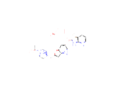 CC(=O)N1CC2CCC1CN2Cc1cc2ncc(Oc3nc4ncccc4s3)cc2o1.O=CO